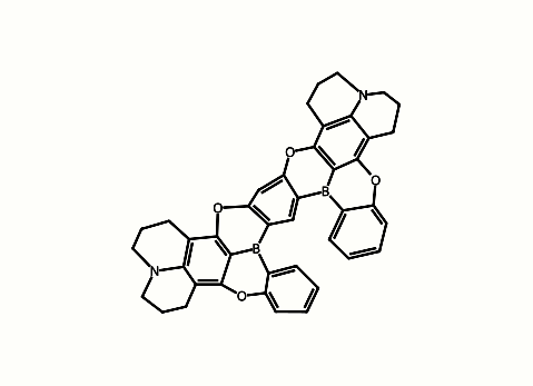 c1ccc2c(c1)Oc1c3c4c(c5c1B2c1cc2c(cc1O5)Oc1c5c6c(c7c1B2c1ccccc1O7)CCCN6CCC5)CCCN4CCC3